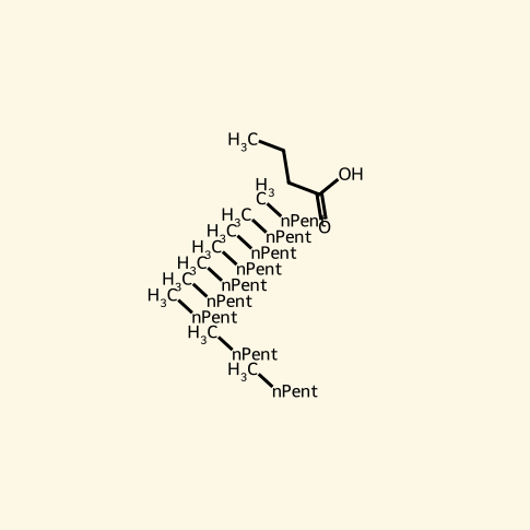 CCCC(=O)O.CCCCCC.CCCCCC.CCCCCC.CCCCCC.CCCCCC.CCCCCC.CCCCCC.CCCCCC.CCCCCC